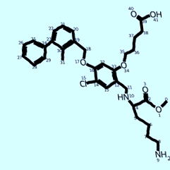 COC(=O)C(CCCCN)NCc1cc(Cl)c(OCc2cccc(-c3ccccc3)c2C)cc1OCCCCC(=O)O